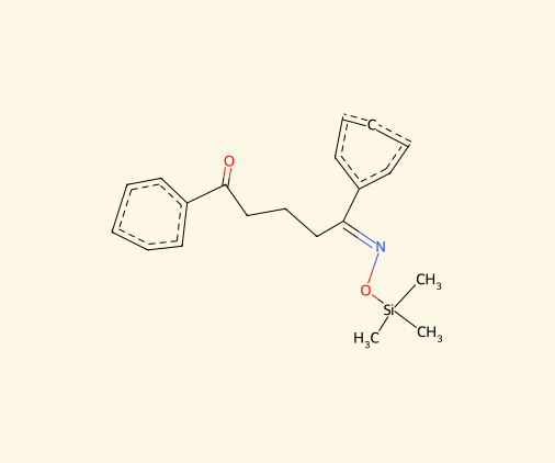 C[Si](C)(C)O/N=C(\CCCC(=O)c1ccccc1)c1ccccc1